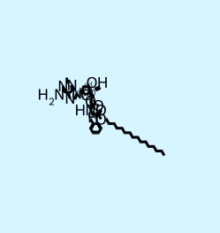 C#C[C@]1(CO[PH](=O)N[C@@H](Cc2ccccc2)C(=O)OCCCCCCCCCCCCCCCC)O[C@@H](n2cnc3c(N)nc(C)nc32)C[C@@H]1O